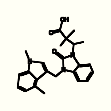 Cc1cccc2c1c(Cn1c(=O)n(C(C)C(C)(C)C(=O)O)c3ccccc31)cn2C